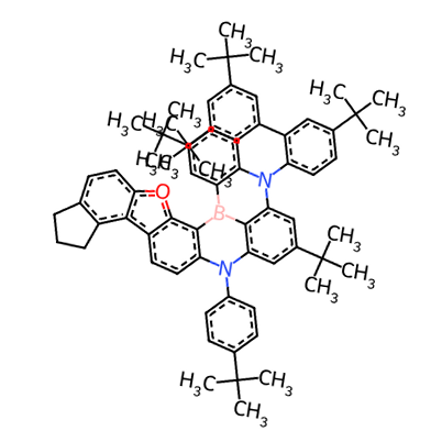 CC(C)(C)c1ccc(N2c3cc(C(C)(C)C)cc4c3B(c3cc(C(C)(C)C)ccc3N4c3ccc(C(C)(C)C)cc3-c3cc(C(C)(C)C)cc(C(C)(C)C)c3)c3c2ccc2c3oc3ccc4c(c32)CCC4)cc1